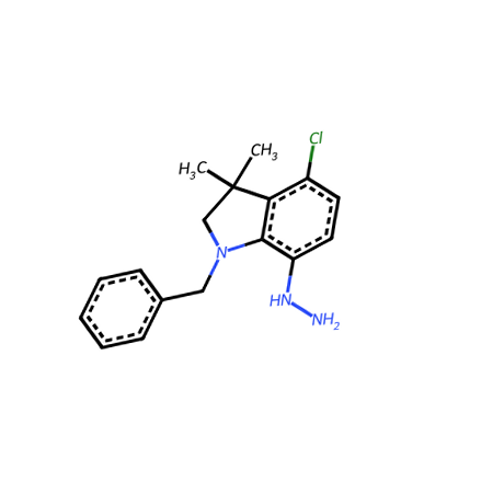 CC1(C)CN(Cc2ccccc2)c2c(NN)ccc(Cl)c21